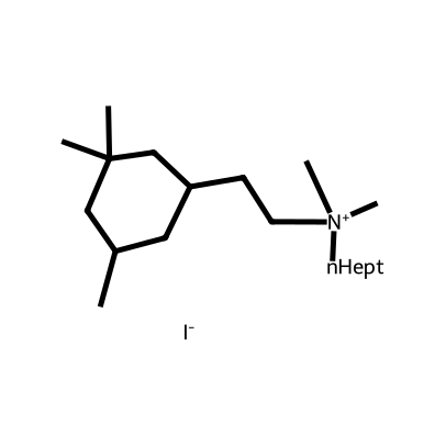 CCCCCCC[N+](C)(C)CCC1CC(C)CC(C)(C)C1.[I-]